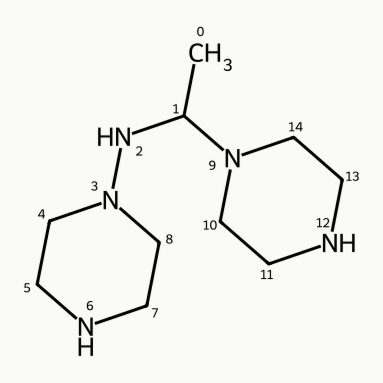 CC(NN1CCNCC1)N1CCNCC1